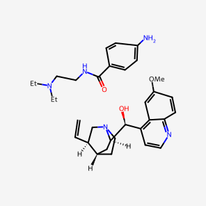 C=C[C@H]1CN2CC[C@H]1C[C@@H]2[C@@H](O)c1ccnc2ccc(OC)cc12.CCN(CC)CCNC(=O)c1ccc(N)cc1